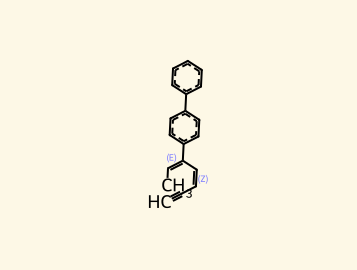 C#C/C=C\C(=C/C)c1ccc(-c2ccccc2)cc1